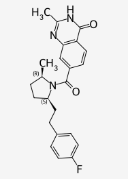 Cc1nc2cc(C(=O)N3[C@@H](CCc4ccc(F)cc4)CC[C@H]3C)ccc2c(=O)[nH]1